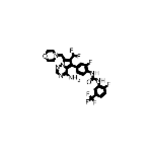 Nc1ncnn2c(CN3CCOCC3)c(C(F)F)c(-c3ccc(NC(=O)Nc4cc(C(F)(F)F)ccc4F)c(F)c3)c12